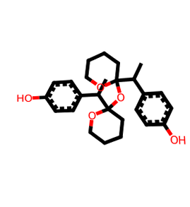 CC(c1ccc(O)cc1)C1(OC2(C(C)c3ccc(O)cc3)CCCCO2)CCCCO1